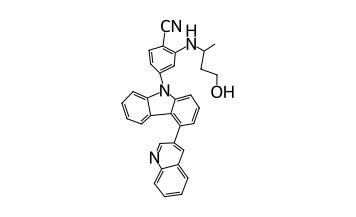 CC(CCO)Nc1cc(-n2c3ccccc3c3c(-c4cnc5ccccc5c4)cccc32)ccc1C#N